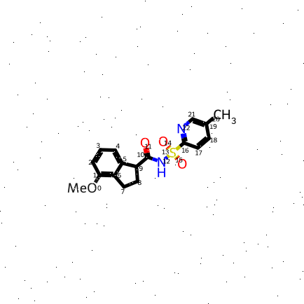 COc1cccc2c1CCC2C(=O)NS(=O)(=O)c1ccc(C)cn1